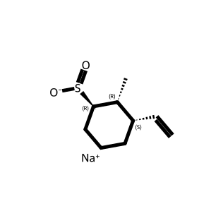 C=C[C@@H]1CCC[C@@H](S(=O)[O-])[C@@H]1C.[Na+]